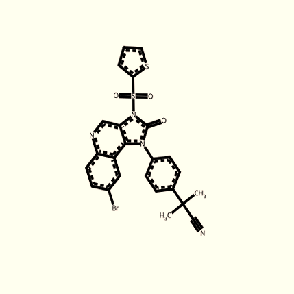 CC(C)(C#N)c1ccc(-n2c(=O)n(S(=O)(=O)c3cccs3)c3cnc4ccc(Br)cc4c32)cc1